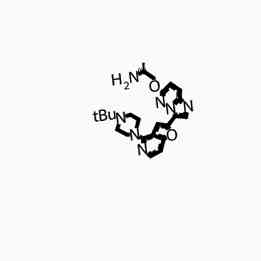 C[C@H](N)COc1ccc2ncc(-c3cc4c(N5CCN(C(C)(C)C)CC5)nccc4o3)n2n1